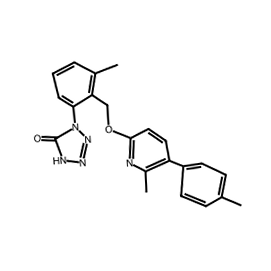 Cc1ccc(-c2ccc(OCc3c(C)cccc3-n3nn[nH]c3=O)nc2C)cc1